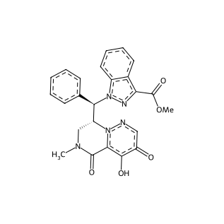 COC(=O)c1nn([C@H](c2ccccc2)[C@H]2CN(C)C(=O)c3c(O)c(=O)cnn32)c2ccccc12